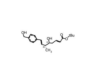 C[C@H](C=Cc1ccc(CO)cc1)[C@@H](O)CC=CC(=O)OC(C)(C)C